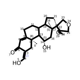 C[C@]12C/C(=C/O)C(=O)C=C1CCC1C2[C@@H](O)C[C@@]2(C)C1CC[C@@]21COCC12CCOC2